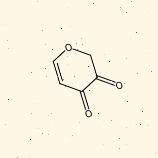 O=C1C=COCC1=O